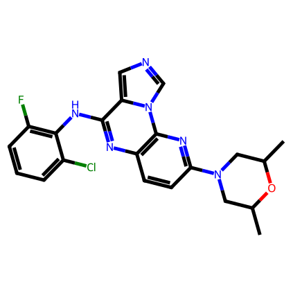 CC1CN(c2ccc3nc(Nc4c(F)cccc4Cl)c4cncn4c3n2)CC(C)O1